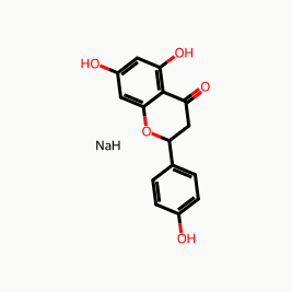 O=C1CC(c2ccc(O)cc2)Oc2cc(O)cc(O)c21.[NaH]